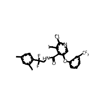 Cc1ccc(C(F)(F)CNC(=O)c2c(Oc3cccc(C(F)(F)F)c3)cnc(Cl)c2I)c(C)c1